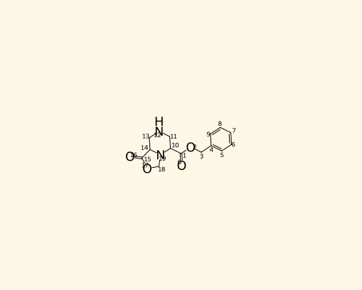 O=C(OCc1ccccc1)C1CNCC2C(=O)OCN12